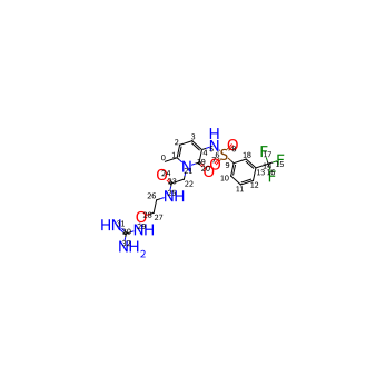 Cc1ccc(NS(=O)(=O)c2cccc(C(F)(F)F)c2)c(=O)n1CC(=O)NCCONC(=N)N